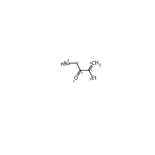 C=C(CC)C(=O)CCCCC